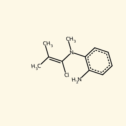 CC(C)=C(Cl)N(C)c1ccccc1N